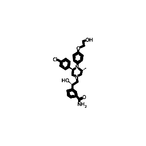 C[C@@H]1CN(C[C@@H](O)c2cccc(C(N)=O)c2)C[C@@H](c2ccc(Cl)cc2)N1c1ccc(OCCO)cc1